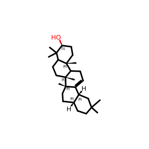 CC1(C)CC[C@@H]2CC[C@@]3(C)C(=CCC4[C@@]5(C)CC[C@H](O)C(C)(C)C5CC[C@]43C)[C@@H]2C1